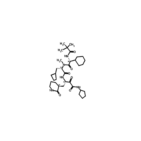 CN(C(=O)[C@H](NC(=O)C(C)(C)C)C1CCCCC1)[C@@H](CC1CCC1)C(=O)N[C@@H](C[C@@H]1CCCNC1=O)C(=O)C(=O)NC1CCCC1